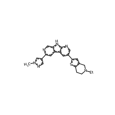 CCN1CCc2sc(-c3cnc4[nH]c5cnc(-c6cnn(C)c6)cc5c4c3)cc2C1